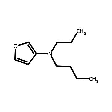 CCCCN(CCC)c1[c]occ1